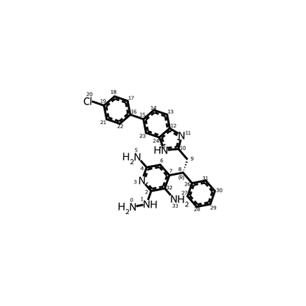 NNc1nc(N)cc([C@H](Cc2nc3ccc(-c4ccc(Cl)cc4)cc3[nH]2)c2ccccc2)c1N